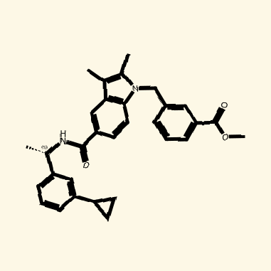 COC(=O)c1cccc(Cn2c(C)c(C)c3cc(C(=O)N[C@@H](C)c4cccc(C5CC5)c4)ccc32)c1